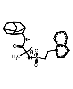 CC(C)(NS(=O)(=O)CCc1cccc2ccccc12)C(=O)NC1C2CC3CC(C2)CC1C3